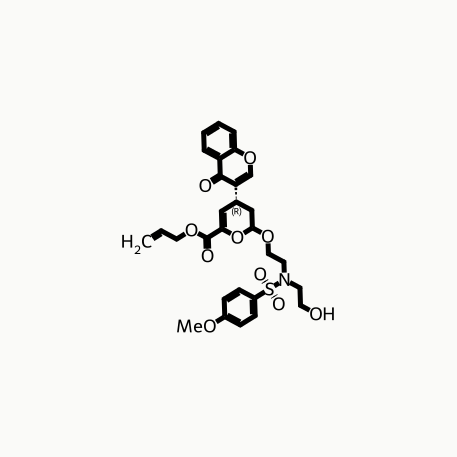 C=CCOC(=O)C1=C[C@H](c2coc3ccccc3c2=O)CC(OCCN(CCO)S(=O)(=O)c2ccc(OC)cc2)O1